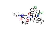 COc1cc(C(=O)N[C@H](C)I)ccc1NC(=O)[C@@H]1C/C(=C\C(C)(C)C)[C@]2(C#N)c3c(ccc(Cl)c3F)-c3c(Cl)cccc3[C@@H]12